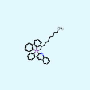 CCCCCCCCCCP(c1ccccc1)(c1ccccc1)(c1ccccc1)c1ccc2ccccc2n1